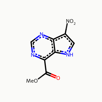 COC(=O)c1ncnc2c([N+](=O)[O-])c[nH]c12